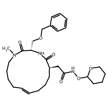 CN1CCCC/C=C/CCC[C@H](CC(=O)NOC2CCCCO2)C(=O)N[C@@H](COCc2ccccc2)C1=O